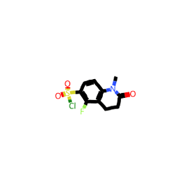 CN1C(=O)CCc2c1ccc(S(=O)(=O)Cl)c2F